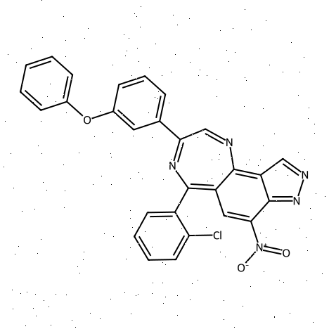 O=[N+]([O-])c1cc2c(-c3ccccc3Cl)nc(-c3cccc(Oc4ccccc4)c3)cnc2c2cnnc12